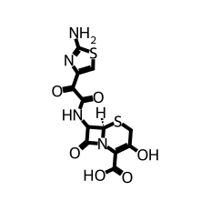 Nc1nc(C(=O)C(=O)NC2C(=O)N3C(C(=O)O)=C(O)CS[C@H]23)cs1